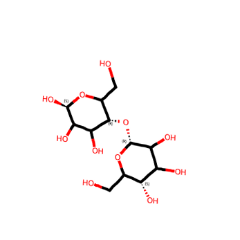 OCC1O[C@H](O[C@H]2C(CO)O[C@H](O)C(O)C2O)C(O)C(O)[C@@H]1O